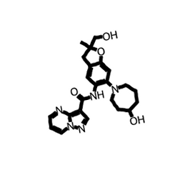 CC1(CO)Cc2cc(NC(=O)c3cnn4cccnc34)c(N3CCCC(O)CC3)cc2O1